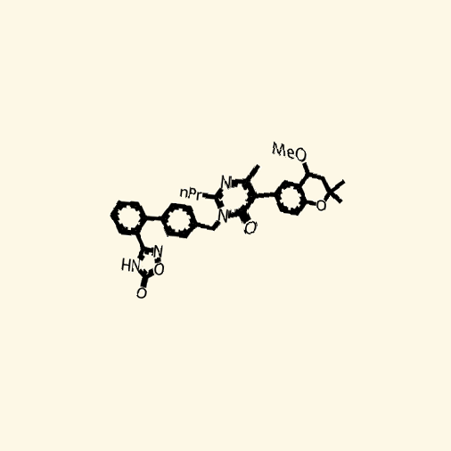 CCCc1nc(C)c(-c2ccc3c(c2)C(OC)CC(C)(C)O3)c(=O)n1Cc1ccc(-c2ccccc2-c2noc(=O)[nH]2)cc1